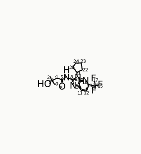 CC(C)(O)CC(=O)Nc1nc2ccc(C(F)(F)F)nc2n1C1CCCC1